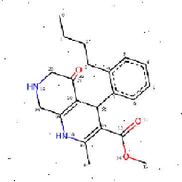 CCCCc1ccccc1C1C(C(=O)OC)=C(C)NC2=C1C(=O)CNC2